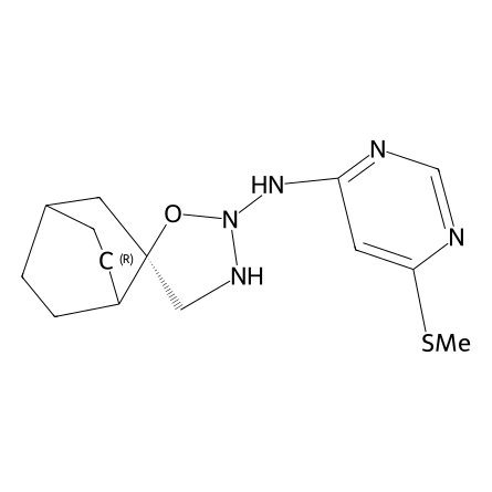 CSc1cc(NN2NC[C@]3(CC4CCC3CC4)O2)ncn1